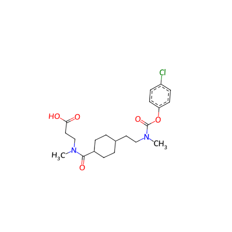 CN(CCC1CCC(C(=O)N(C)CCC(=O)O)CC1)C(=O)Oc1ccc(Cl)cc1